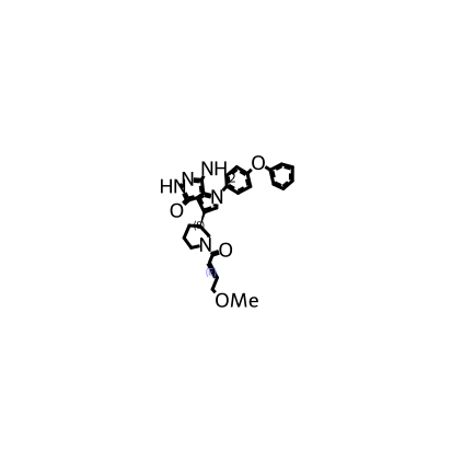 COC/C=C/C(=O)N1CCC[C@@H](c2cn(-c3ccc(Oc4ccccc4)cc3)c3c(N)n[nH]c(=O)c23)C1